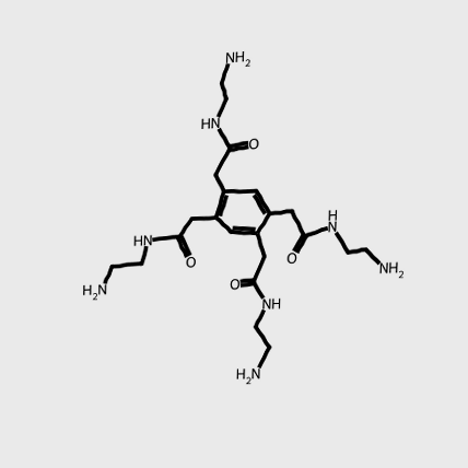 NCCNC(=O)Cc1cc(CC(=O)NCCN)c(CC(=O)NCCN)cc1CC(=O)NCCN